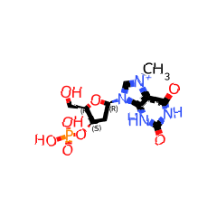 C[n+]1cn([C@H]2C[C@H](OP(=O)(O)O)[C@@H](CO)O2)c2[nH]c(=O)[nH]c(=O)c21